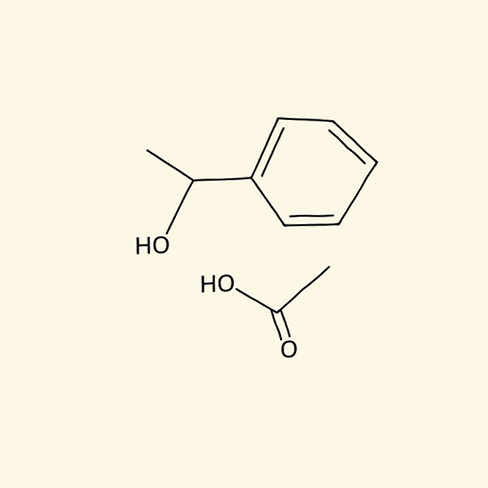 CC(=O)O.CC(O)c1ccccc1